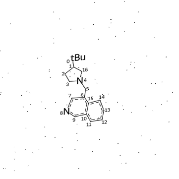 CC(C)(C)C1CCN(Cc2cncc3ccccc23)C1